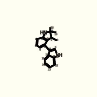 CC1c2c(cccc2-c2c[nH]c3ccccc23)NC1(C)C